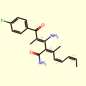 C\C=C/C=C\C(C)=C(C(N)=O)\C(N)=C(/C)C(=O)c1ccc(F)cc1